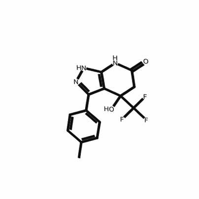 Cc1ccc(-c2n[nH]c3c2C(O)(C(F)(F)F)CC(=O)N3)cc1